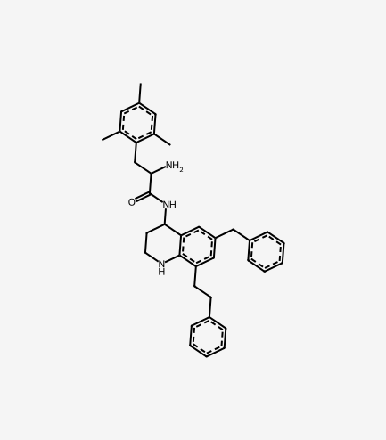 Cc1cc(C)c(CC(N)C(=O)NC2CCNc3c(CCc4ccccc4)cc(Cc4ccccc4)cc32)c(C)c1